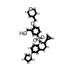 O=S(=O)(c1ccc(OCC2CCOCC2)c(CO)c1)N1c2ccc(N3CCCC3)cc2CCC1C1CC1